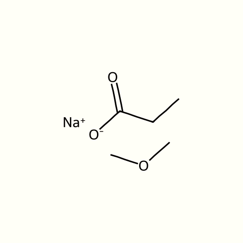 CCC(=O)[O-].COC.[Na+]